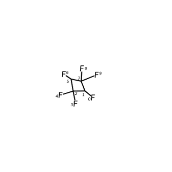 FC1C(F)(F)C(F)C1(F)F